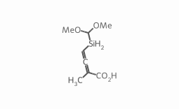 COC(OC)[SiH2]C=C=C(C)C(=O)O